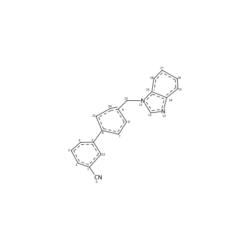 N#Cc1cccc(-c2ccc(Cn3cnc4ccccc43)cc2)c1